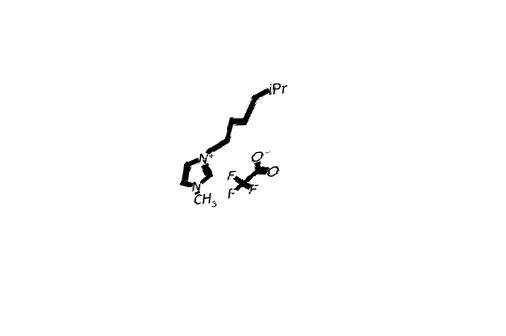 CC(C)CCCCC[n+]1ccn(C)c1.O=C([O-])C(F)(F)F